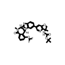 CN1C(=O)c2cccc(OC(F)F)c2[C@H]2C[C@@H]1c1nc3ccc(-c4cnc5c(c4)OCC5(C)NC(=O)OC(C)(C)C)cc3n12